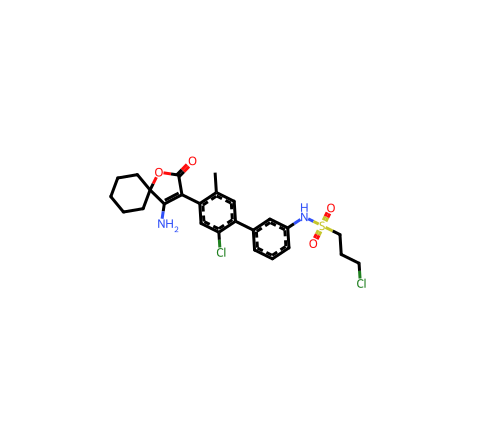 Cc1cc(-c2cccc(NS(=O)(=O)CCCCl)c2)c(Cl)cc1C1=C(N)C2(CCCCC2)OC1=O